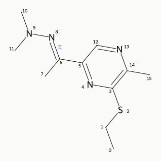 CCSc1nc(/C(C)=N/N(C)C)cnc1C